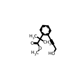 COC(=O)C(C)(C)c1ccccc1C#CCO